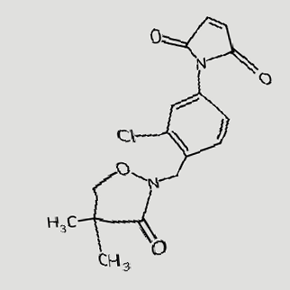 CC1(C)CON(Cc2ccc(N3C(=O)C=CC3=O)cc2Cl)C1=O